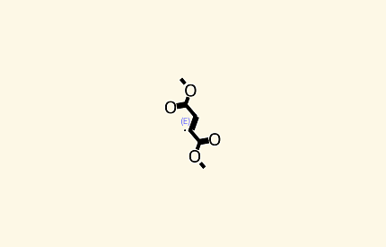 COC(=O)/[C]=C/C(=O)OC